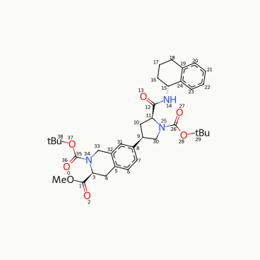 COC(=O)[C@@H]1Cc2ccc([C@H]3C[C@@H](C(=O)N[C@@H]4CCCc5ccccc54)N(C(=O)OC(C)(C)C)C3)cc2CN1C(=O)OC(C)(C)C